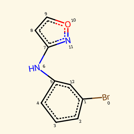 Brc1cccc(Nc2ccon2)c1